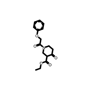 CCOC(=O)C1CN(C(=O)COc2ccccc2)CCC1=O